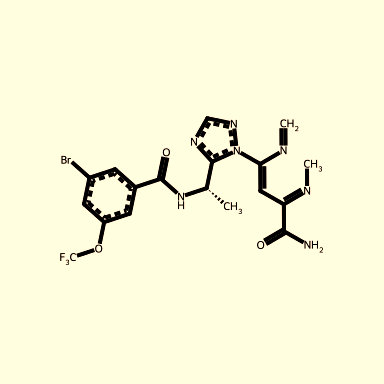 C=N/C(=C\C(=N/C)C(N)=O)n1ncnc1[C@H](C)NC(=O)c1cc(Br)cc(OC(F)(F)F)c1